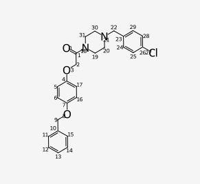 O=C(COc1ccc(OCc2ccccc2)cc1)N1CCN(Cc2ccc(Cl)cc2)CC1